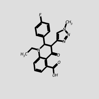 CCN1c2cccc(C(=O)O)c2C(=O)C(c2cn(C)nn2)C1c1ccc(F)cc1